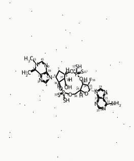 C=C1c2ncn([C@@H]3C[C@@H]4OP(=S)(S)O[C@H]5[C@@H](F)[C@H](n6cnc7c(N)ncnc76)O[C@@H]5COP(=S)(S)O[C@@H]3[C@@H]4O)c2N=CN1C